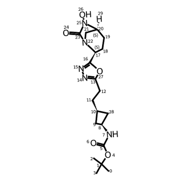 CC(C)(C)OC(=O)N[C@H]1C[C@@H](CCc2nnc([C@@H]3CC[C@H]4CN3C(=O)N4O)o2)C1